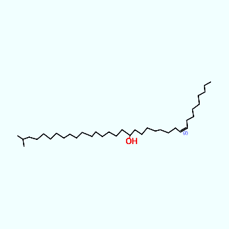 CCCCCCCC/C=C\CCCCCCCC(O)CCCCCCCCCCCCCCCC(C)C